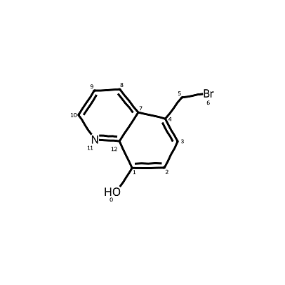 Oc1ccc(CBr)c2cccnc12